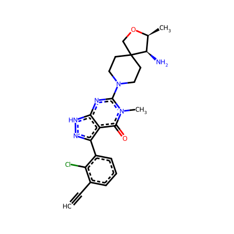 C#Cc1cccc(-c2n[nH]c3nc(N4CCC5(CC4)CO[C@@H](C)[C@H]5N)n(C)c(=O)c23)c1Cl